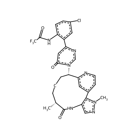 C[C@@H]1CCC[C@H](n2cnc(-c3cc(Cl)ccc3NC(=O)C(F)(F)F)cc2=O)c2cc(ccn2)-c2c(cnn2C)NC1=O